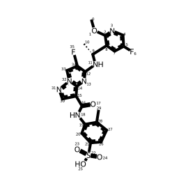 COc1ncc(F)cc1[C@@H](C)Nc1nc2c(C(=O)Nc3cc(S(=O)(=O)O)ccc3C)cnn2cc1F